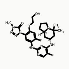 Cn1nnn(-c2cc(Nc3ncc(F)c(N[C@@H]4C[C@@H]5CCCN5C(C)(C)C4)n3)c(F)cc2OCCO)c1=O